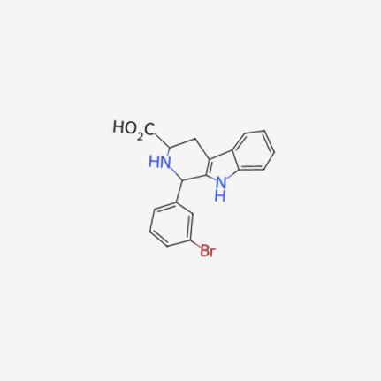 O=C(O)C1Cc2c([nH]c3ccccc23)C(c2cccc(Br)c2)N1